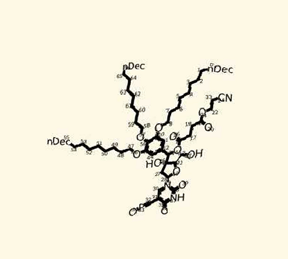 CCCCCCCCCCCCCCCCCCOc1cc(C(OC(=O)CCC(=O)OCCC#N)[C@]2(O)C[C@H](n3cc(C#P=O)c(=O)[nH]c3=O)O[C@@H]2CO)cc(OCCCCCCCCCCCCCCCCCC)c1OCCCCCCCCCCCCCCCCCC